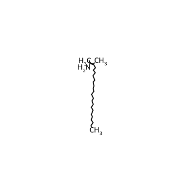 CCCCCCCCCCCCCCCCCCCCCC(C)=C(C)N